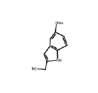 COc1ccc2[nH]c(CC#N)cc2c1